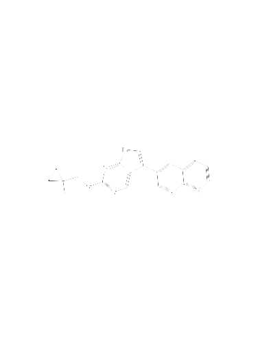 FC1(CNc2ncc3c(-c4ccc5ncccc5c4)c[nH]c3n2)CC1